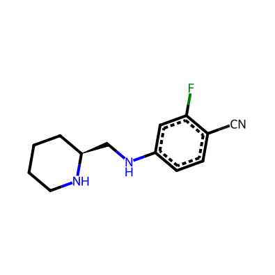 N#Cc1ccc(NC[C@@H]2CCCCN2)cc1F